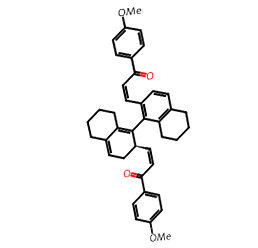 COc1ccc(C(=O)/C=C\c2ccc3c(c2C2=C4CCCCC4=CC[C@@H]2/C=C\C(=O)c2ccc(OC)cc2)CCCC3)cc1